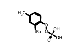 Cc1ccc(OOP(=O)(O)O)c(C(C)(C)C)c1